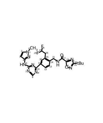 Cn1ccc(Nc2ncnc(-c3ccc(CNC(=O)c4nc(C(C)(C)C)no4)c(CC(F)F)c3)n2)n1